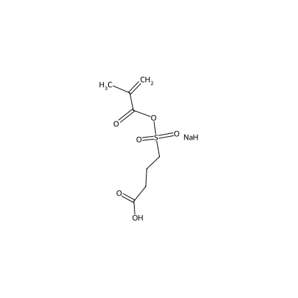 C=C(C)C(=O)OS(=O)(=O)CCCC(=O)O.[NaH]